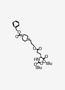 CC(C)(C)OC(=O)N[C@@H](CCC(=O)OCCCN1CCN(C(=O)OCc2ccccc2)CC1)C(=O)OC(C)(C)C